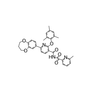 Cc1cc(C)c(Oc2nc(-c3ccc4c(c3)OCCCO4)ccc2C(=O)NS(=O)(=O)c2cccc(C)n2)c(C)c1